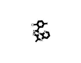 Cc1nc2cccnc2n2c(-c3cc(I)ccc3Cl)nnc12